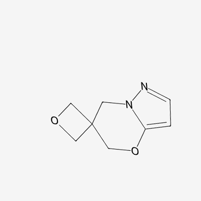 c1cc2n(n1)CC1(COC1)CO2